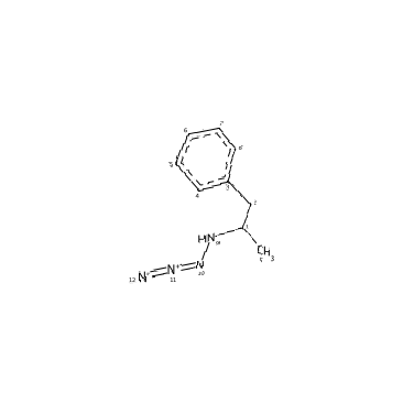 CC(Cc1ccccc1)NN=[N+]=[N-]